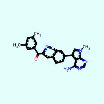 Cc1cc(C)cc(C(=O)c2cc3ccc(-c4cn(C)c5ncnc(N)c45)cc3cn2)c1